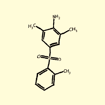 Cc1ccccc1S(=O)(=O)c1cc(C)c(N)c(C)c1